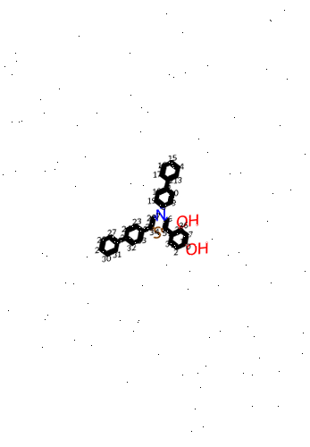 Oc1ccc(C2=CN(c3ccc(-c4ccccc4)cc3)C=C(c3ccc(-c4ccccc4)cc3)S2)c(O)c1